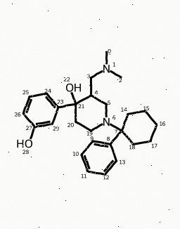 CN(C)CC1CN(C2(c3ccccc3)CCCCC2)CCC1(O)c1cccc(O)c1